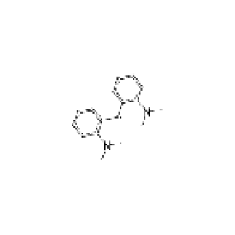 CN(C)c1ccccc1[CH]c1ccccc1N(C)C